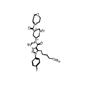 COCCCCc1c(C(=O)N(CC(C)C)[C@@H]2CNC[C@H](C(=O)N3CCOCC3)C2)nnn1-c1ccc(F)cc1